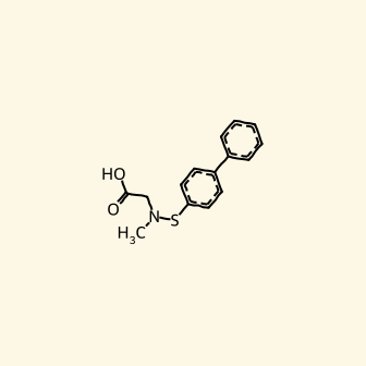 CN(CC(=O)O)Sc1ccc(-c2ccccc2)cc1